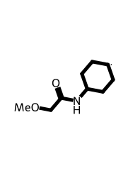 COCC(=O)NC1CC[CH]CC1